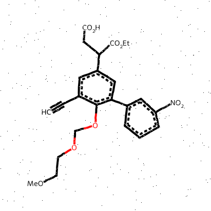 C#Cc1cc(C(CC(=O)O)C(=O)OCC)cc(-c2cccc([N+](=O)[O-])c2)c1OCOCCOC